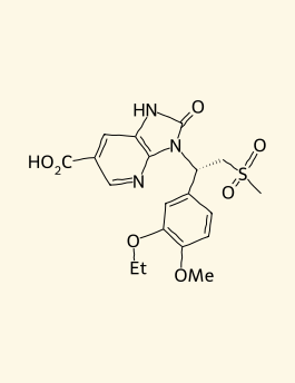 CCOc1cc([C@@H](CS(C)(=O)=O)n2c(=O)[nH]c3cc(C(=O)O)cnc32)ccc1OC